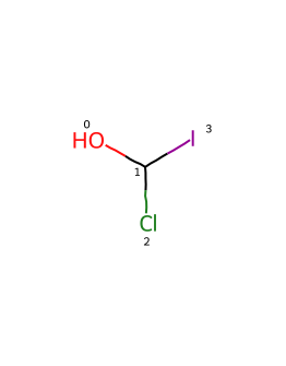 OC(Cl)I